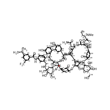 CN[C@@H](CC(C)C)C(=O)N[C@H]1C(=O)N[C@@H](CC(N)=O)C(=O)NC2C(=O)N[C@@H]3C(=O)N[C@@H](C(=O)N[C@@H](C(=O)O)c4cc(O)cc(O)c4-c4cc3ccc4O)[C@@H](O[C@@H]3CC(C)(NCc4cccc(NC(=O)c5cc(N(C)C)cc(C(F)(F)F)c5)c4)[C@H](O)[C@H](C)O3)c3ccc(c(Cl)c3)Oc3cc2cc(c3OC2O[C@@H](CO)[C@@H](O)[C@@H](O)[C@H]2O)Oc2ccc(cc2Cl)[C@H]1O